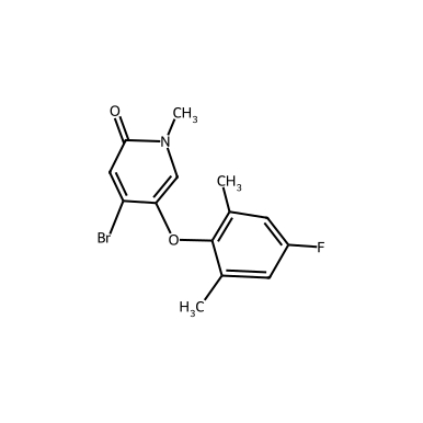 Cc1cc(F)cc(C)c1Oc1cn(C)c(=O)cc1Br